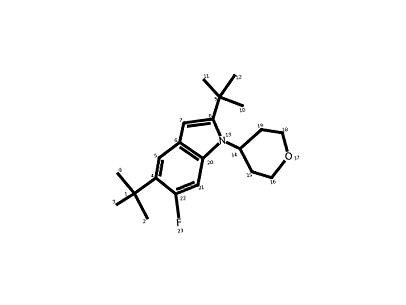 CC(C)(C)c1cc2cc(C(C)(C)C)n(C3CCOCC3)c2cc1F